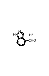 O=Cc1cccc2[nH]ncc12.[H+]